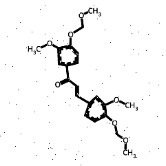 COCOc1ccc(/C=C/C(=O)c2ccc(OCOC)c(OC)c2)cc1OC